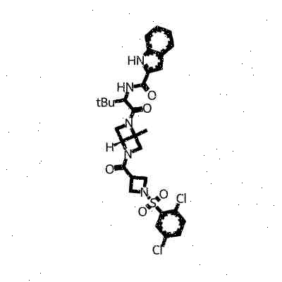 CC(C)(C)C(NC(=O)c1cc2ccccc2[nH]1)C(=O)N1C[C@H]2N(C(=O)C3CN(S(=O)(=O)c4cc(Cl)ccc4Cl)C3)CC21C